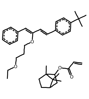 C=CC(=O)OC1CC2CCC1(C)C2(C)C.CCOCCCOC(C=Cc1ccc(C(C)(C)C)cc1)=Cc1ccccc1